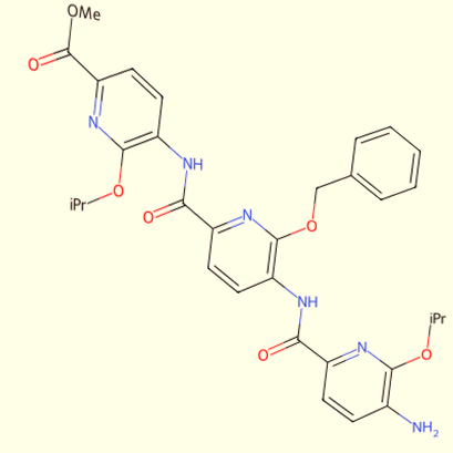 COC(=O)c1ccc(NC(=O)c2ccc(NC(=O)c3ccc(N)c(OC(C)C)n3)c(OCc3ccccc3)n2)c(OC(C)C)n1